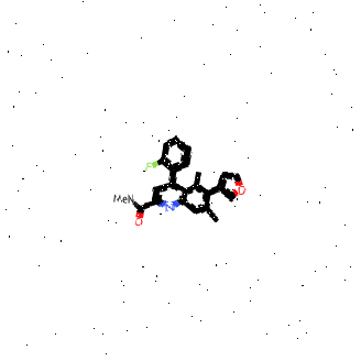 CNC(=O)c1cc(-c2ccccc2F)c2c(C)c(-c3ccoc3)c(C)cc2n1